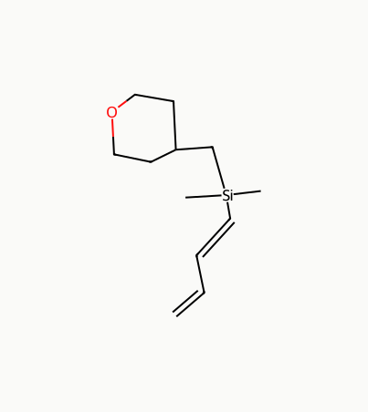 C=CC=C[Si](C)(C)CC1CCOCC1